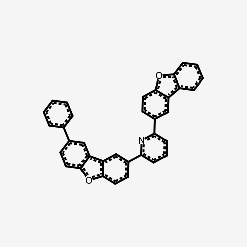 c1ccc(-c2ccc3oc4ccc(-c5cccc(-c6ccc7oc8ccccc8c7c6)n5)cc4c3c2)cc1